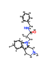 Cc1ccc2c(c1)c1c(n2CC(C)C(=O)NCc2ccccc2)CN(C)CC1